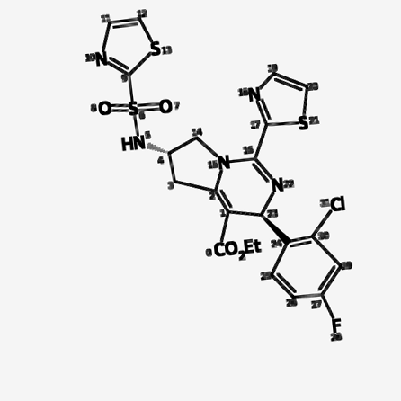 CCOC(=O)C1=C2C[C@H](NS(=O)(=O)c3nccs3)CN2C(c2nccs2)=N[C@H]1c1ccc(F)cc1Cl